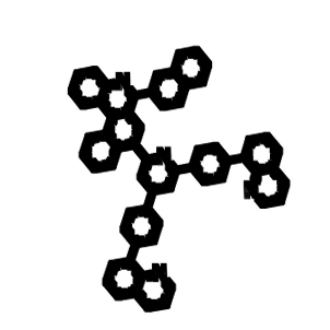 c1ccc2cc(-c3nc4ccccc4c4c3cc(-c3cc(-c5ccc(-c6cccc7cccnc67)cc5)cc(-c5ccc(-c6cccc7cccnc67)cc5)n3)c3ccccc34)ccc2c1